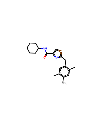 Cc1cc([N+](=O)[O-])c(C)cc1Cc1nc(C(=O)NC2CCCCC2)cs1